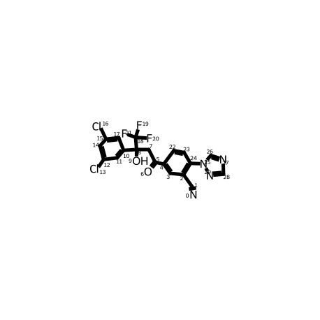 N#Cc1cc(C(=O)CC(O)(c2cc(Cl)cc(Cl)c2)C(F)(F)F)ccc1-n1cncn1